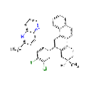 CCC1(C)C=CC2=C(C1)C(c1ccc(F)c(Cl)c1)Cc1c2ccc2ccccc12.O=C(O)c1ccc2ncccc2n1